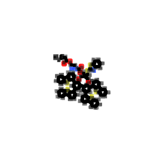 C=CC(=O)OCCNC(=O)OCC1(CSc2nc3ccccc3s2)COc2c(cc(-c3cccc4c3sc3ccccc34)cc2-c2cccc3c2sc2ccccc23)-c2cc(-c3cccc4c3sc3ccccc34)cc(-c3cccc4c3sc3ccccc34)c2OC1